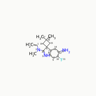 C=CN(C)C(=N)C1(c2ccc(F)c(N)c2)CC(C)(C)C1